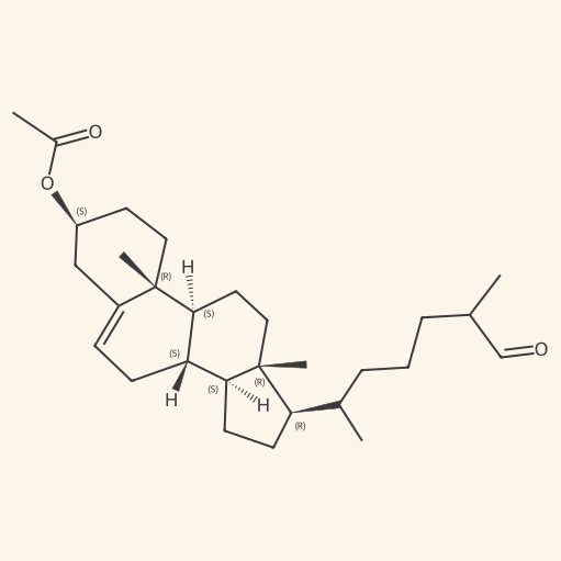 CC(=O)O[C@H]1CC[C@@]2(C)C(=CC[C@H]3[C@@H]4CC[C@H](C(C)CCCC(C)C=O)[C@@]4(C)CC[C@@H]32)C1